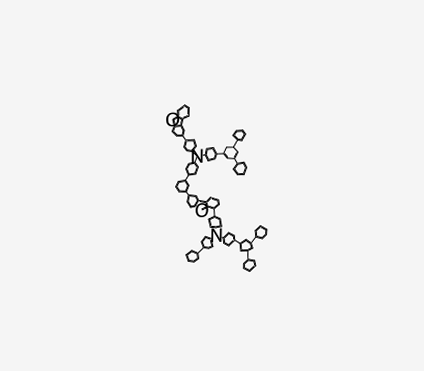 C1=C(c2ccccc2)C=C(c2ccc(N(c3ccc(-c4cccc(-c5ccc6oc7c(-c8ccc(N(c9ccc(-c%10ccccc%10)cc9)c9ccc(-c%10cc(-c%11ccccc%11)cc(-c%11ccccc%11)c%10)cc9)cc8)cccc7c6c5)c4)cc3)c3ccc(-c4ccc5oc6ccccc6c5c4)cc3)cc2)CC1c1ccccc1